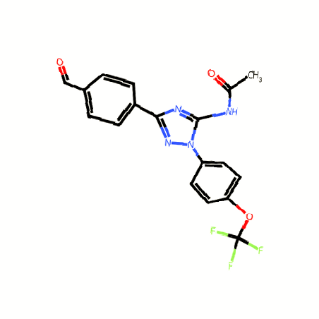 CC(=O)Nc1nc(-c2ccc(C=O)cc2)nn1-c1ccc(OC(F)(F)F)cc1